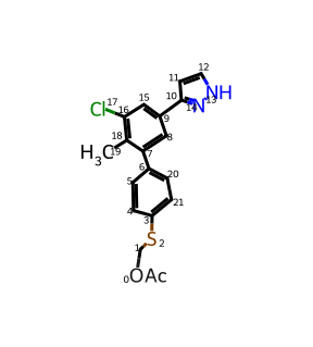 CC(=O)OCSc1ccc(-c2cc(-c3cc[nH]n3)cc(Cl)c2C)cc1